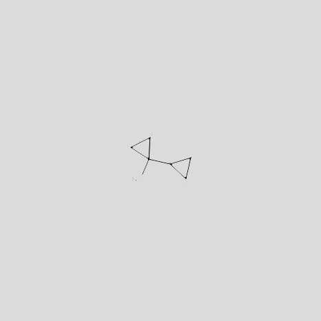 N#CC1([C]2CC2)CC1